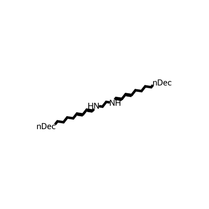 CCCCCCCCCCCCCCC=CC=CNCCNC=CC=CCCCCCCCCCCCCCC